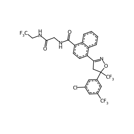 O=C(CNC(=O)c1ccc(C2=NOC(c3cc(Cl)cc(C(F)(F)F)c3)(C(F)(F)F)C2)c2ccccc12)NCC(F)(F)F